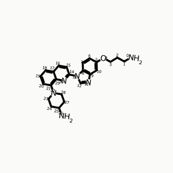 NCCCOc1ccc2c(c1)ncn2-c1ccc2cccc(N3CCC(N)CC3)c2n1